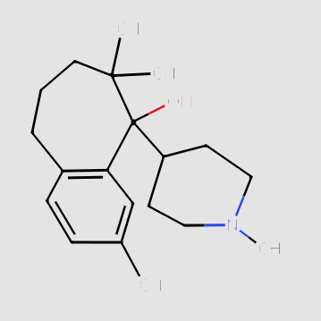 Cc1ccc2c(c1)C(O)(C1CCN(C)CC1)C(C)(C)CCC2